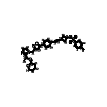 Cc1ccc(S(=O)(=O)OC2CC(C#Cc3ccc(-c4cc(Cn5ccnc5[C@H](C)OC5CCCCO5)no4)cc3)C2)cc1